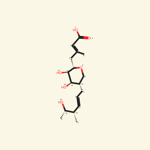 C/C(=C\C(=O)O)C[C@@H]1OC[C@H](C/C=C/[C@H](C)[C@H](C)O)[C@@H](O)[C@H]1O